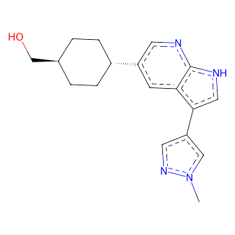 Cn1cc(-c2c[nH]c3ncc([C@H]4CC[C@H](CO)CC4)cc23)cn1